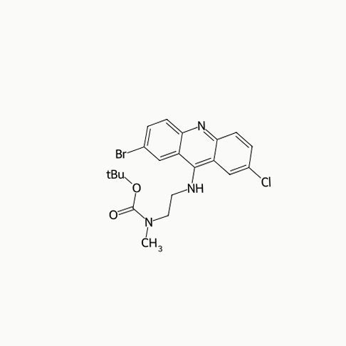 CN(CCNc1c2cc(Cl)ccc2nc2ccc(Br)cc12)C(=O)OC(C)(C)C